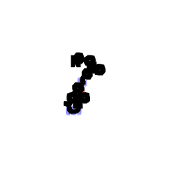 C=C1/C=C\C=C/CN(c2ccccc2)c2c1ccc1c2C(C)(C)c2cc(/C=C/c3ccc(N(c4ccccc4)c4cccc(-c5cccnc5)c4)cc3)ccc2-1